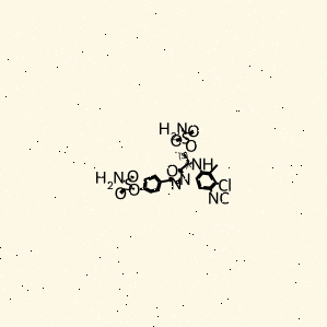 [C-]#[N+]c1ccc(N[C@@H](c2nnc(-c3ccc(OS(N)(=O)=O)cc3)o2)[C@H](C)OS(N)(=O)=O)c(C)c1Cl